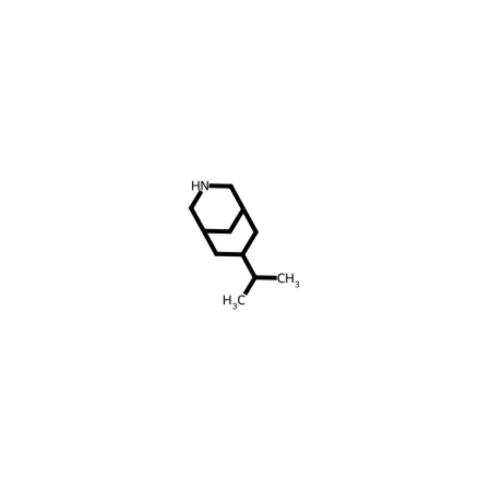 CC(C)C1CC2CNCC(C2)C1